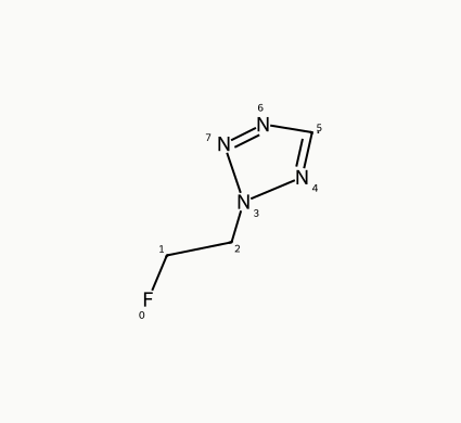 FCCn1n[c]nn1